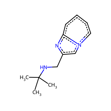 CC(C)(C)NCc1cn2ccccc2n1